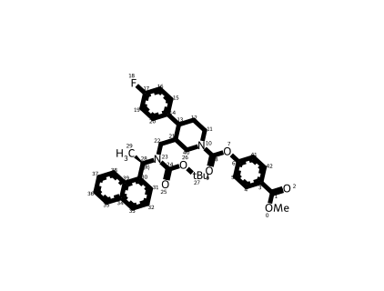 COC(=O)c1ccc(OC(=O)N2CCC(c3ccc(F)cc3)C(CN(C(=O)OC(C)(C)C)[C@H](C)c3cccc4ccccc34)C2)cc1